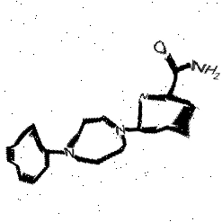 NC(=O)c1[c]ccc(N2CCN(c3ccccc3)CC2)n1